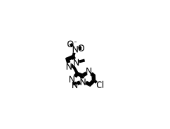 Cn1c([N+](=O)[O-])cnc1-c1nnn2cc(Cl)cnc12